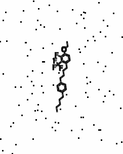 CCCCCc1ccc(CCCCc2ccc(OCC)c(F)c2C(F)(F)F)cc1